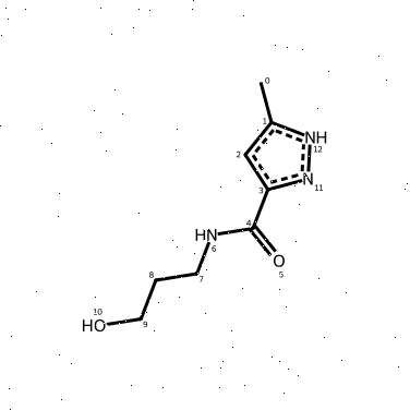 Cc1cc(C(=O)NCCCO)n[nH]1